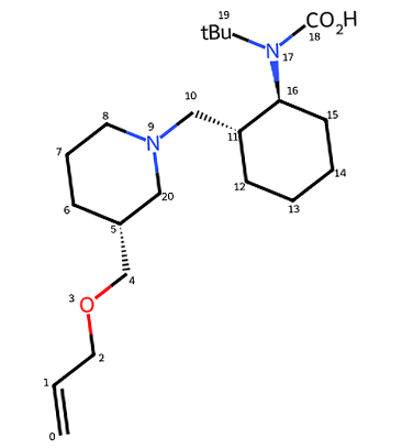 C=CCOC[C@@H]1CCCN(C[C@H]2CCCC[C@@H]2N(C(=O)O)C(C)(C)C)C1